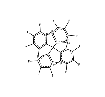 Fc1cc(C(c2c(F)c(F)c(F)c(F)c2F)(c2c(F)c(F)c(F)c(F)c2F)c2c(F)c(F)c(F)c(F)c2F)c(F)c(F)c1F